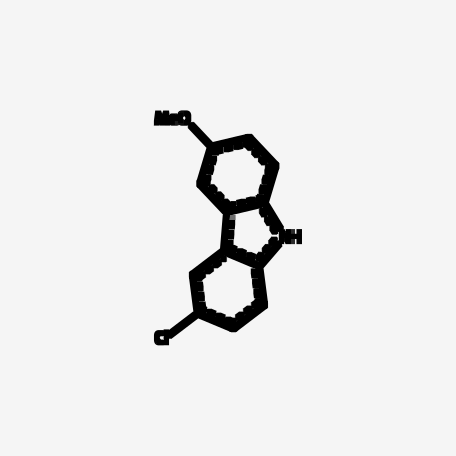 COc1ccc2[nH]c3ccc(Cl)cc3c2c1